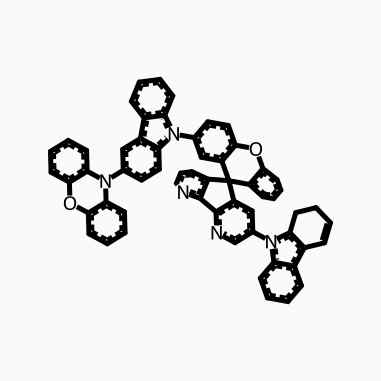 C1=Cc2c(n(-c3cnc4c(c3)C3(c5ccccc5Oc5ccc(-n6c7ccccc7c7cc(N8c9ccccc9Oc9ccccc98)ccc76)cc53)c3cccnc3-4)c3ccccc23)CC1